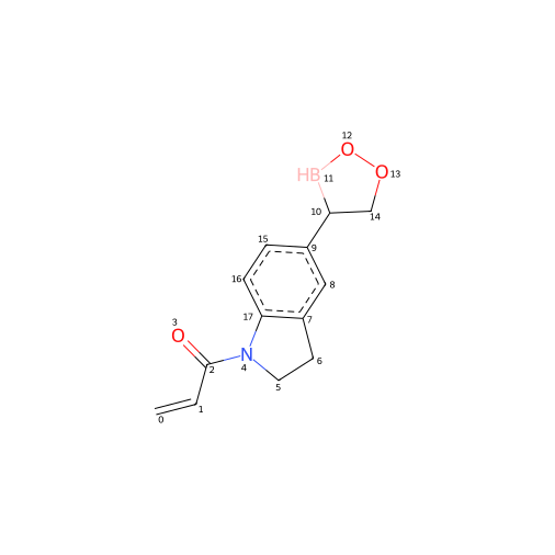 C=CC(=O)N1CCc2cc(C3BOOC3)ccc21